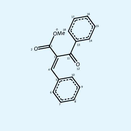 COC(=O)C(=Cc1cc[c]cc1)C(=O)c1ccccc1